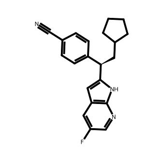 N#Cc1ccc([C@@H](CC2CCCC2)c2cc3cc(F)cnc3[nH]2)cc1